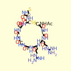 CC(=O)N[C@H]1CSSC[C@@H](C(=O)N[C@@H](CC=S)C(N)=O)NC(=O)[C@H](CO)NC(=O)CNC(=O)CNC(=O)[C@H](C)NC(=O)[C@H](CCCNC(=N)N)NC(=O)[C@H](CCCNC(=N)N)NC(=O)CNC1=O